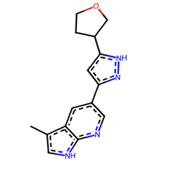 Cc1c[nH]c2ncc(-c3cc(C4CCOC4)[nH]n3)cc12